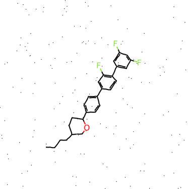 CCCCC1CCC(c2ccc(-c3ccc(-c4cc(F)cc(F)c4)c(F)c3)cc2)OC1